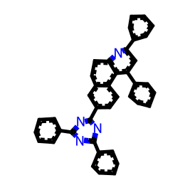 c1ccc(-c2cc(-c3ccccc3)c3c(ccc4cc(-c5nc(-c6ccccc6)nc(-c6ccccc6)n5)ccc43)n2)cc1